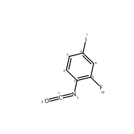 O=C=Nc1ccc(I)cc1F